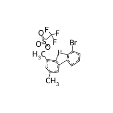 Cc1cc(C)c2c(c1)-c1cccc(Br)c1[I+]2.O=S(=O)([O-])C(F)(F)F